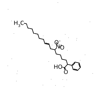 CCCCCCCCC=CCC(CCCCC(C(=O)O)c1ccccc1)[N+](=O)[O-]